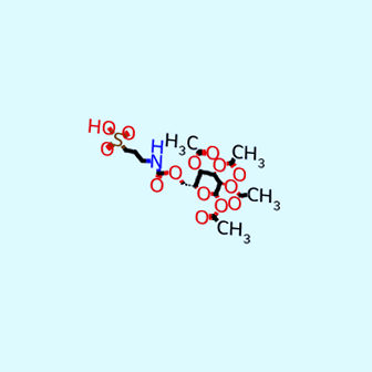 CC(=O)OC1O[C@H](COC(=O)NCCCS(=O)(=O)O)[C@@H](OC(C)=O)[C@H](OC(C)=O)[C@H]1OC(C)=O